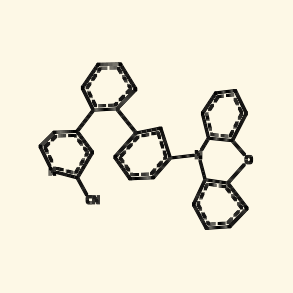 N#Cc1cc(-c2ccccc2-c2cccc(N3c4ccccc4Oc4ccccc43)c2)ccn1